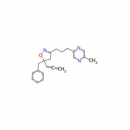 C=C=CC1(Cc2ccccc2)CC(CCCc2cnc(C)cn2)=NO1